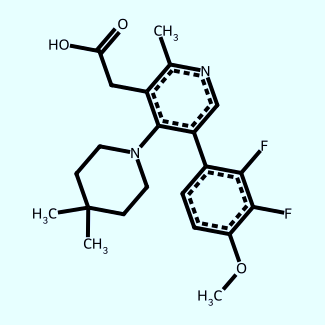 COc1ccc(-c2cnc(C)c(CC(=O)O)c2N2CCC(C)(C)CC2)c(F)c1F